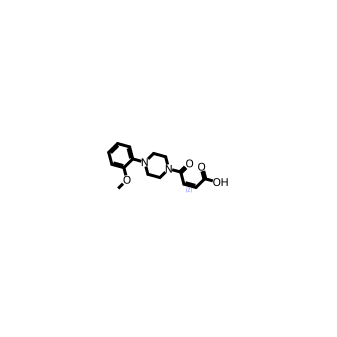 COc1ccccc1N1CCN(C(=O)/C=C\C(=O)O)CC1